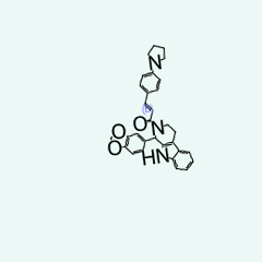 O=C(/C=C/c1ccc(N2CCCC2)cc1)N1CCc2c([nH]c3ccccc23)C1c1ccc2c(c1)OCO2